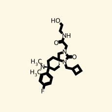 CN(C)[C@]1(c2ccc(F)cc2)CC[C@]2(CC1)CN(CC(=O)NCCO)C(=O)N2CC1CCC1